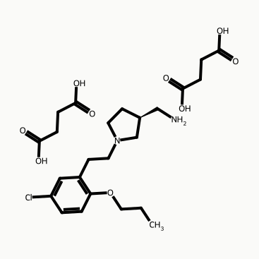 CCCOc1ccc(Cl)cc1CCN1CC[C@@H](CN)C1.O=C(O)CCC(=O)O.O=C(O)CCC(=O)O